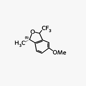 COc1ccc2c(c1)C(C(F)(F)F)O[C@H]2C